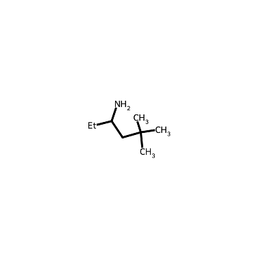 CCC(N)CC(C)(C)C